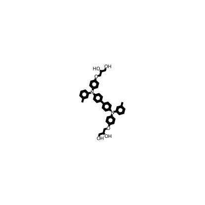 Cc1cccc(N(c2ccc(OCC(O)CO)cc2)c2ccc(-c3ccc(N(c4ccc(OCC(O)CO)cc4)c4cccc(C)c4)cc3)cc2)c1